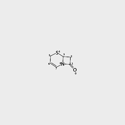 O=C1CC2SCC=CN12